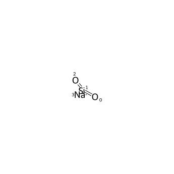 O=[Si]=O.[Na]